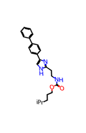 CC(C)CCCOC(=O)NCCc1nc(-c2ccc(-c3ccccc3)cc2)c[nH]1